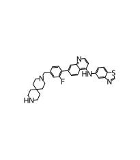 Fc1cc(CN2CCC3(CCNCC3)CC2)ccc1-c1ccc2c(Nc3ccc4scnc4c3)ccnc2c1